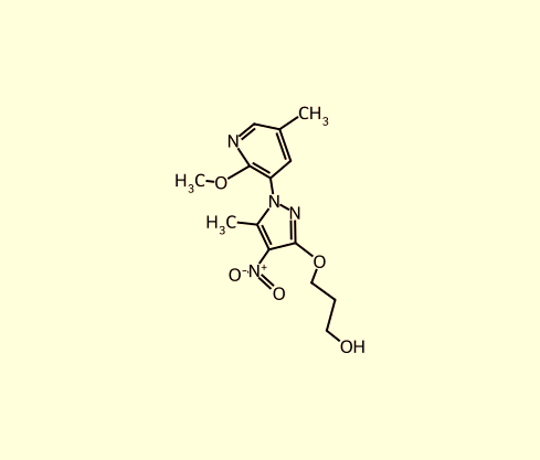 COc1ncc(C)cc1-n1nc(OCCCO)c([N+](=O)[O-])c1C